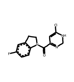 O=C(C1=NCNC(Cl)=C1)N1CCc2cc(F)ccc21